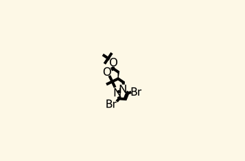 CC(C)(C)OC(=O)C[C@@H](Cn1nc(Br)cc1Br)C(C)(C)C